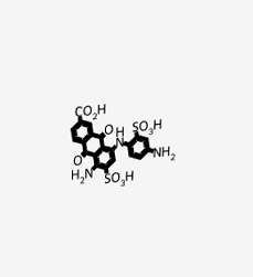 Nc1ccc(Nc2cc(S(=O)(=O)O)c(N)c3c2C(=O)c2cc(C(=O)O)ccc2C3=O)c(S(=O)(=O)O)c1